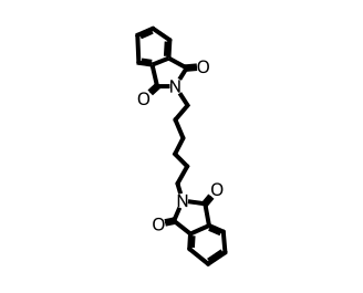 O=C1c2ccccc2C(=O)N1CCCCCCN1C(=O)c2ccccc2C1=O